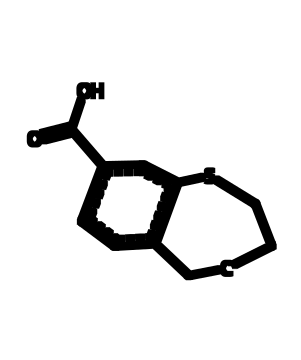 O=C(O)c1ccc2c(c1)SCCCC2